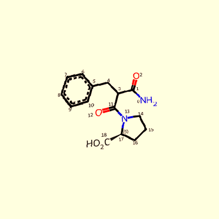 NC(=O)C(Cc1ccccc1)C(=O)N1CCC[C@H]1C(=O)O